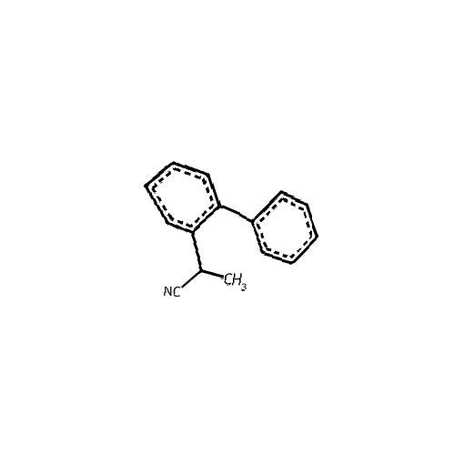 CC(C#N)c1ccccc1-c1ccccc1